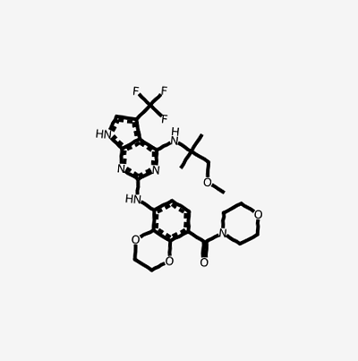 COCC(C)(C)Nc1nc(Nc2ccc(C(=O)N3CCOCC3)c3c2OCCO3)nc2[nH]cc(C(F)(F)F)c12